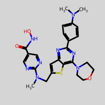 CN(C)c1ccc(-c2nc(N3CCOCC3)c3sc(CN(C)c4ncc(C(=O)NO)cn4)cc3n2)cc1